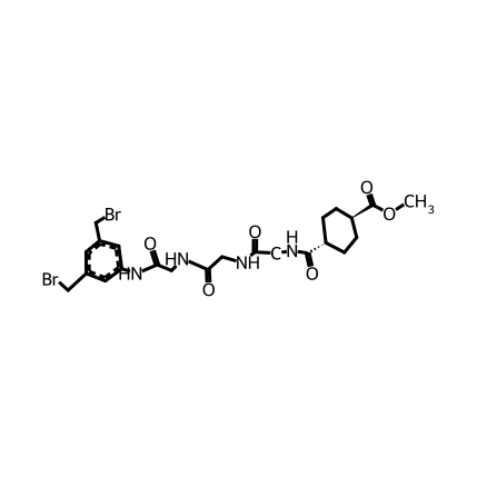 COC(=O)[C@H]1CC[C@H](C(=O)NCC(=O)NCC(=O)NCC(=O)Nc2cc(CBr)cc(CBr)c2)CC1